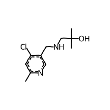 Cc1cc(Cl)c(CNCC(C)(C)O)cn1